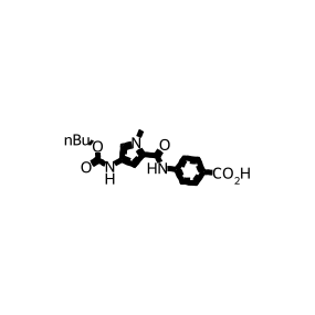 CCCCOC(=O)Nc1cc(C(=O)Nc2ccc(C(=O)O)cc2)n(C)c1